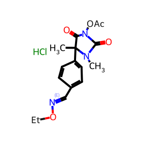 CCO/N=C/c1ccc(C2(C)C(=O)N(OC(C)=O)C(=O)N2C)cc1.Cl